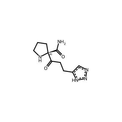 NC(=O)[C@]1(C(=O)CCc2cnn[nH]2)CCCN1